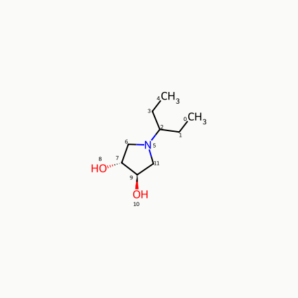 CCC(CC)N1C[C@@H](O)[C@H](O)C1